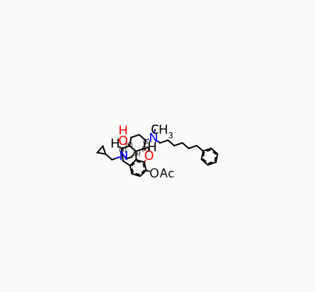 CC(=O)Oc1ccc2c3c1O[C@H]1[C@@H](N(C)CCCCCCc4ccccc4)CC[C@@]4(O)[C@@H](C2)N(CC2CC2)CC[C@]314